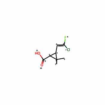 CC1(C)C(C=C(F)Cl)C1C(=O)O